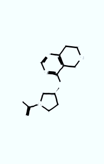 CCC(=O)N1CC[C@H](Oc2ncnc3c2CNCC3)C1